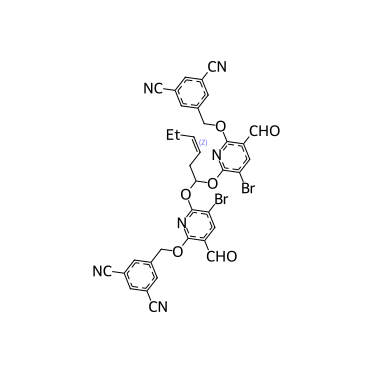 CC/C=C\CC(Oc1nc(OCc2cc(C#N)cc(C#N)c2)c(C=O)cc1Br)Oc1nc(OCc2cc(C#N)cc(C#N)c2)c(C=O)cc1Br